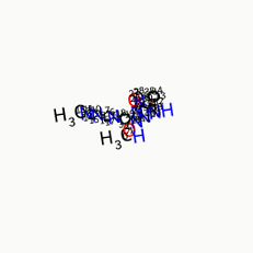 COc1cc(N2CCC(N3CCN(C)CC3)CC2)ccc1Nc1nc(N2OCC[C@H]2c2ccccc2)c2cc[nH]c2n1